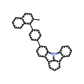 Cc1ccc2ccccc2c1-c1ccc(-c2ccc3c4cccc5c6ccccc6n(c3c2)c54)cc1